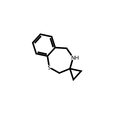 c1ccc2c(c1)CNC1(CC1)CS2